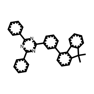 CC1(C)c2ccccc2-c2c(-c3cccc(-c4nc(-c5ccccc5)nc(-c5ccccc5)n4)c3)cccc21